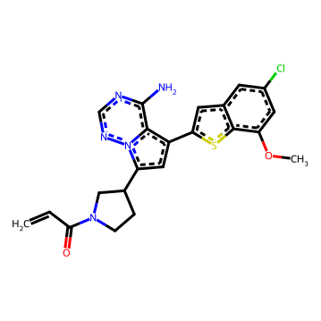 C=CC(=O)N1CCC(c2cc(-c3cc4cc(Cl)cc(OC)c4s3)c3c(N)ncnn23)C1